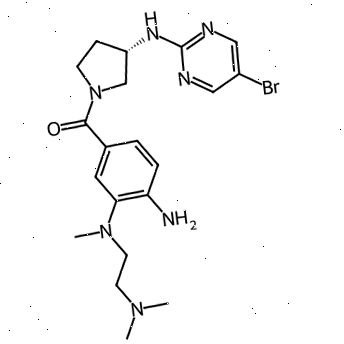 CN(C)CCN(C)c1cc(C(=O)N2CC[C@H](Nc3ncc(Br)cn3)C2)ccc1N